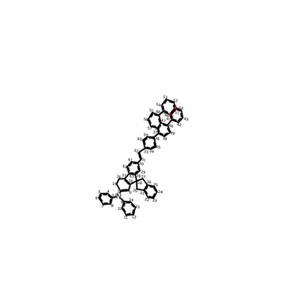 C1=C(N(c2ccccc2)c2ccccc2)CCC2=C1C1(Cc3ccccc3C1)c1cc(/C=C/c3ccc(-c4ccc(-c5ccccc5)c5c(-c6ccccc6)cccc45)cc3)ccc12